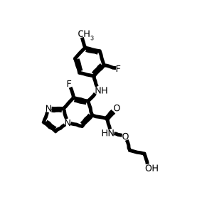 Cc1ccc(Nc2c(C(=O)NOCCO)cn3ccnc3c2F)c(F)c1